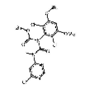 CCC(C)Oc1cc(OC)c(Cl)c(N(C(=O)OC(C)(C)C)C(=O)N(C)c2cc(Cl)ncn2)c1Cl